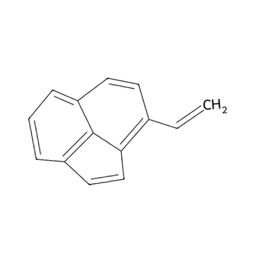 C=Cc1ccc2cccc3c2c1C=C3